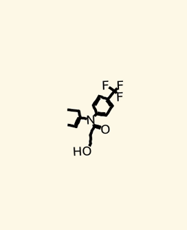 C/C=C(\CC)N(C(=O)CCO)c1ccc(C(F)(F)F)cc1